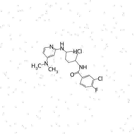 CN(C)c1ccnc(NC2CCC(NC(=O)c3ccc(F)c(Cl)c3)CC2)c1.Cl